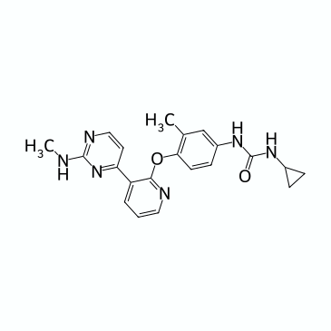 CNc1nccc(-c2cccnc2Oc2ccc(NC(=O)NC3CC3)cc2C)n1